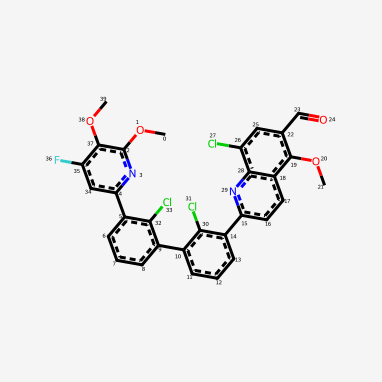 COc1nc(-c2cccc(-c3cccc(-c4ccc5c(OC)c(C=O)cc(Cl)c5n4)c3Cl)c2Cl)cc(F)c1OC